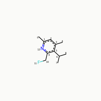 Cc1cc(C)c(C(C)C)c(CF)n1